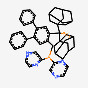 PC(c1cc(-c2ccccc2)c(-c2ccccc2)cc1CP(c1cnccn1)c1cnccn1)(C12CC3CC(CC(C3)C1)C2)C12CC3CC(CC(C3)C1)C2